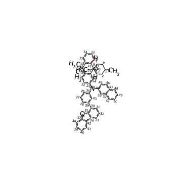 CC1C[C@H]2CC(C)C[C@H](C1)C21c2ccccc2C(C)(C)c2ccc(N(c3cccc(-c4cccc5c4oc4ccccc45)c3)c3ccc4ccccc4c3)cc21